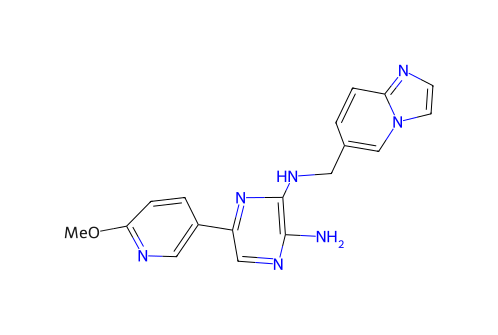 COc1ccc(-c2cnc(N)c(NCc3ccc4nccn4c3)n2)cn1